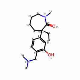 CC[C@@]1(c2ccc(CN(C)C)c(O)c2)CCCCN(C)C1=O